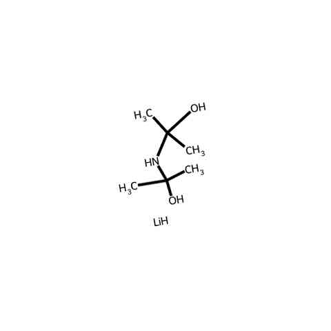 CC(C)(O)NC(C)(C)O.[LiH]